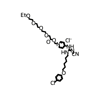 CCOCCOCCOCCOCC(=O)OC[n+]1ccc(NC(=NC#N)NCCCCCCOc2ccc(Cl)cc2)cc1.[Cl-]